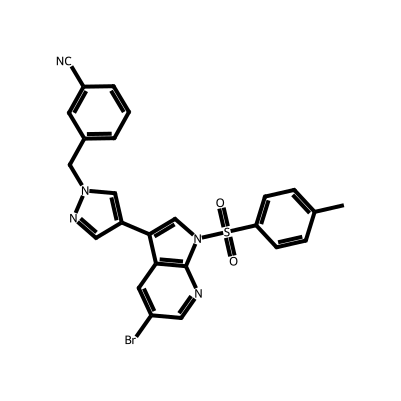 Cc1ccc(S(=O)(=O)n2cc(-c3cnn(Cc4cccc(C#N)c4)c3)c3cc(Br)cnc32)cc1